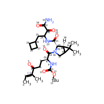 C/C=C(\C)C(=O)CC[C@H](NC(=O)OC(C)(C)C)C(=O)N1CC2[C@@H]([C@H]1C(=O)NC(CC1CCC1)C(=O)C(N)=O)C2(C)C